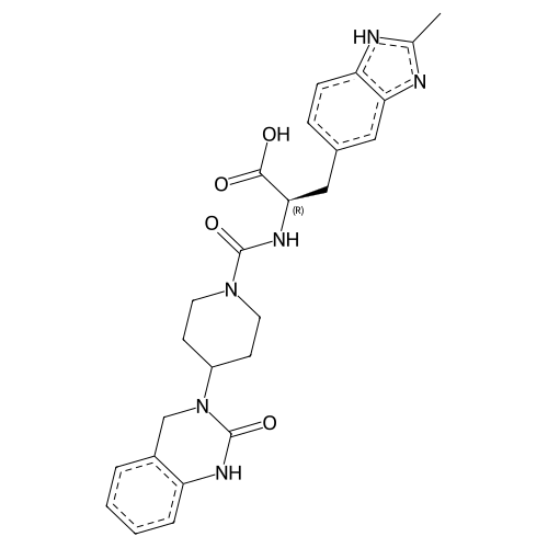 Cc1nc2cc(C[C@@H](NC(=O)N3CCC(N4Cc5ccccc5NC4=O)CC3)C(=O)O)ccc2[nH]1